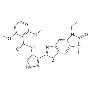 CCN1C(=O)C(C)(C)c2cc3[nH]c(-c4n[nH]cc4NC(=O)c4c(OC)cccc4OC)nc3cc21